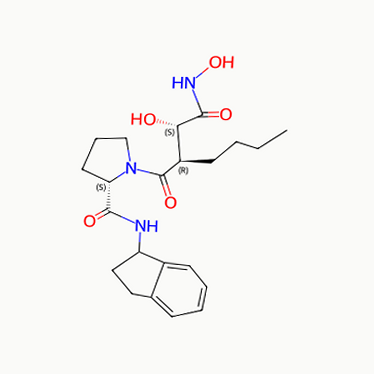 CCCC[C@@H](C(=O)N1CCC[C@H]1C(=O)NC1CCc2ccccc21)[C@H](O)C(=O)NO